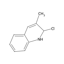 CC1=Cc2ccccc2NC1Cl